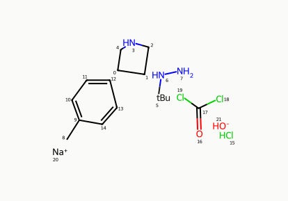 C1CCNC1.CC(C)(C)NN.Cc1ccccc1.Cl.O=C(Cl)Cl.[Na+].[OH-]